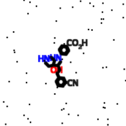 N#Cc1cccc(CCC(CNc2ccc(C(=O)O)cc2)C2(O)CCNCC2)c1